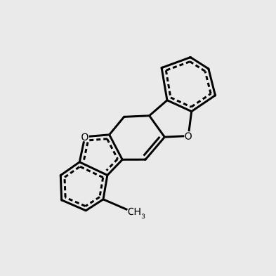 Cc1cccc2oc3c(c12)C=C1Oc2ccccc2C1C3